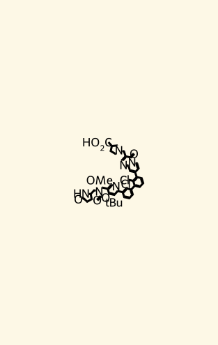 COc1nc(-c2cccc(-c3cccc(-c4ccn5c(=O)c(CN6CCC(C(=O)O)C6)cnc5c4)c3Cl)c2Cl)ccc1CN(CC1CCC(=O)N1)C(=O)OC(C)(C)C